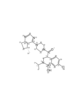 CC(C)N(CC(C(=O)N1CCN(c2ncnc3c2[C@H](C)CC3)CC1)c1ccc(Cl)cc1)C(=O)O